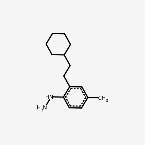 Cc1ccc(NN)c(CCC2CCCCC2)c1